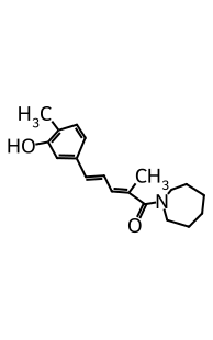 C/C(=C\C=C\c1ccc(C)c(O)c1)C(=O)N1CCCCCC1